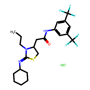 CCCN1C(=NC2CCCCC2)SCC1CC(=O)Nc1cc(C(F)(F)F)cc(C(F)(F)F)c1.Cl